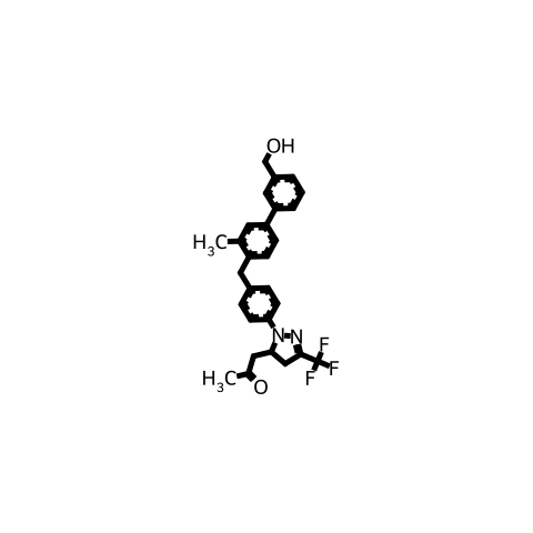 CC(=O)CC1CC(C(F)(F)F)=NN1c1ccc(Cc2ccc(-c3cccc(CO)c3)cc2C)cc1